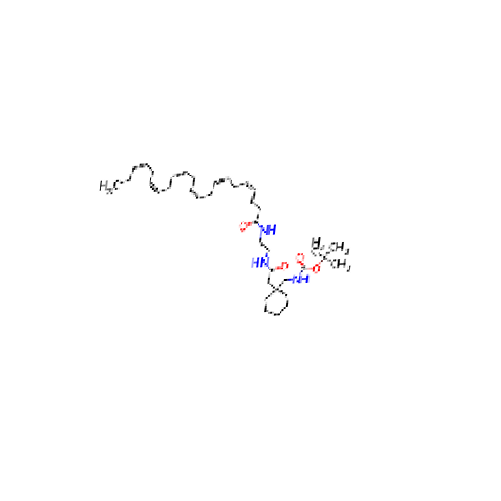 CC/C=C\C/C=C\C/C=C\C/C=C\C/C=C\C/C=C\CCC(=O)NCCNC(=O)CC1(CNC(=O)OC(C)(C)C)CCCCC1